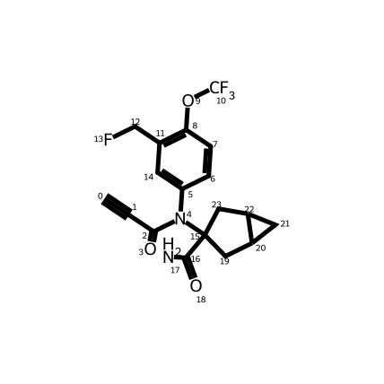 C#CC(=O)N(c1ccc(OC(F)(F)F)c(CF)c1)C1(C(N)=O)CC2CC2C1